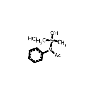 CC(=O)N(c1ccccc1)S(C)(C)O.Cl